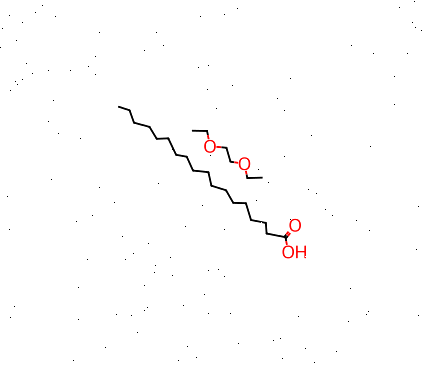 CCCCCCCCCCCCCCCCCC(=O)O.CCOCCOCC